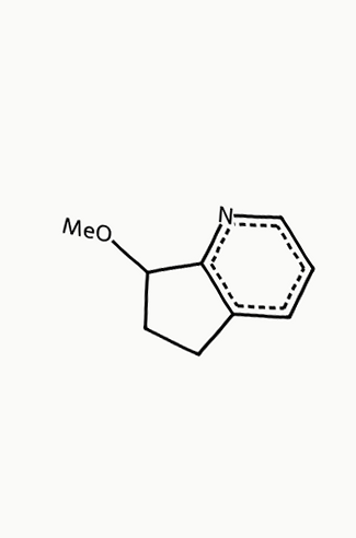 COC1CCc2cccnc21